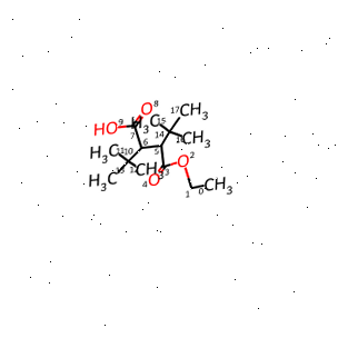 CCOC(=O)C(C(C(=O)O)C(C)(C)C)C(C)(C)C